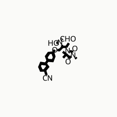 CC(C(COc1ccc(-c2cccc(CC#N)c2)cc1)N(O)C=O)N1C(=O)N(C)C(=O)C1(C)C